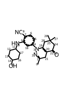 CC1=NN(c2ccc(C#N)c(NC3CCC(O)CC3)c2)C2=C(C1)C(=O)CC(C)(C)C2